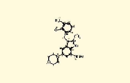 CC(=O)Nc1cc(N2CCOCC2)cc2c1nc(C)n2Cc1cccc(C)c1Cl